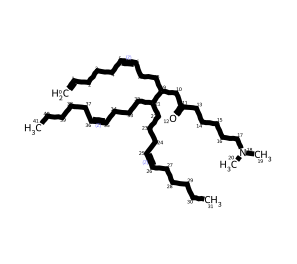 C=CCCC/C=C\CCC(CC(=O)CCCCCN(C)C)C(CCC/C=C\CCCCC)CCC/C=C\CCCCC